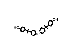 CC(C)(c1ccc(O)cc1)c1ccc(Oc2ccc(C(C)(C)c3ccc(O)cc3)cc2)cc1